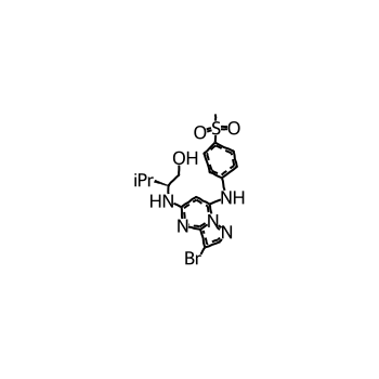 CC(C)[C@@H](CO)Nc1cc(Nc2ccc(S(C)(=O)=O)cc2)n2ncc(Br)c2n1